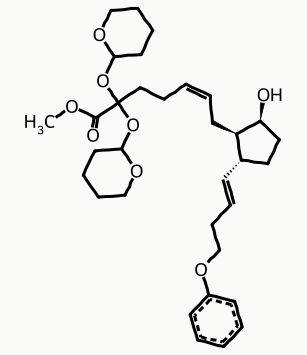 COC(=O)C(CC/C=C\C[C@H]1[C@@H](O)CC[C@@H]1/C=C/CCOc1ccccc1)(OC1CCCCO1)OC1CCCCO1